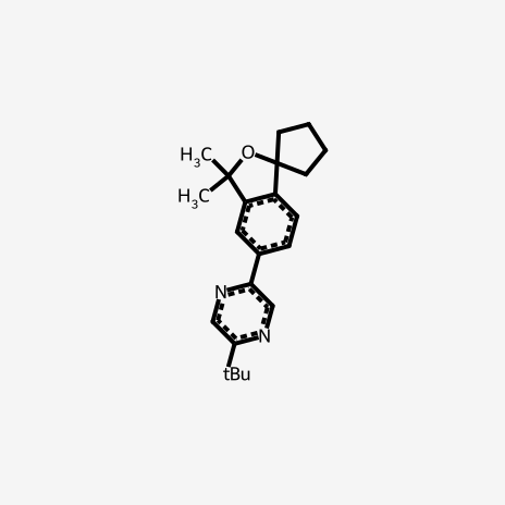 CC(C)(C)c1cnc(-c2ccc3c(c2)C(C)(C)OC32CCCC2)cn1